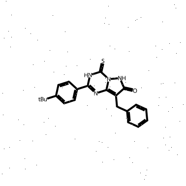 CC(C)(C)c1ccc(-c2nc3c(Cc4ccccc4)c(=O)[nH]n3c(=S)[nH]2)cc1